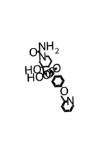 NC(=O)N1CCC(S(=O)(=O)c2ccc(OCc3ccccn3)cc2)C(O)(C(=O)O)C1